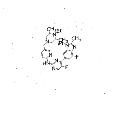 CCN1C(C)CN(Cc2ccc(Nc3ncc(F)c(-c4cc(F)c5nc(C)n(C(C)C)c5c4)n3)nc2)CC1C